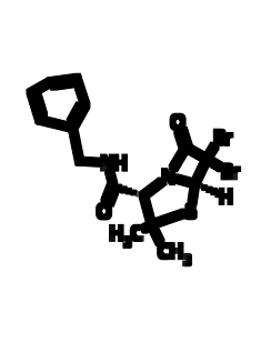 CC1(C)S[C@H]2N(C(=O)C2(Br)Br)[C@H]1C(=O)NCc1ccccc1